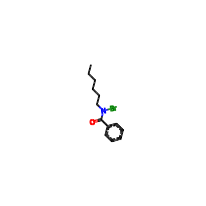 CCCCCCN(Br)C(=O)c1ccccc1